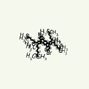 CC(C)CCCC(C)CCC1(CCC(C)CCCC(C)C)c2cc3c(cc2-c2sc(Br)cc21)C(CCC(C)CCCC(C)C)(CCC(C)CCCC(C)C)c1cc(Br)sc1-3